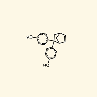 Oc1ccc(C2(c3ccc(O)cc3)CC3C=CC2C3)cc1